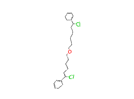 ClC(CCCCCOCCCCCC(Cl)C1=CC=CCC1)C1=CC=CCC1